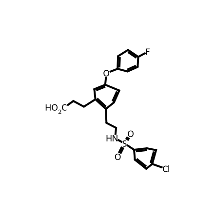 O=C(O)CCc1cc(Oc2ccc(F)cc2)ccc1CCNS(=O)(=O)c1ccc(Cl)cc1